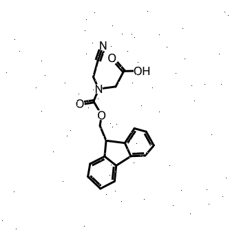 N#CCN(CC(=O)O)C(=O)OCC1c2ccccc2-c2ccccc21